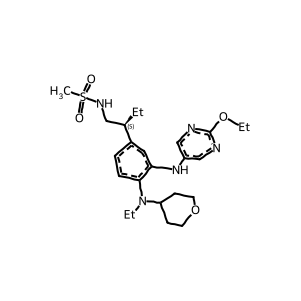 CCOc1ncc(Nc2cc([C@H](CC)CNS(C)(=O)=O)ccc2N(CC)C2CCOCC2)cn1